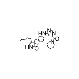 CC=C/C=C\C1=C(C)NC(=O)C12Cc1ccc(Nc3cc(C(=O)N4CCCCCC4)ncn3)cc1C2